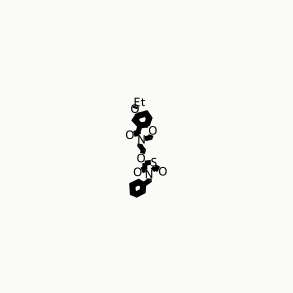 CCOc1ccc2c(c1)C(=O)N(CCOC1SC(=O)N(Cc3ccccc3)C1=O)CO2